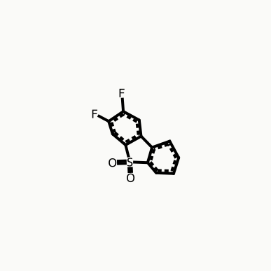 O=S1(=O)c2ccccc2-c2cc(F)c(F)cc21